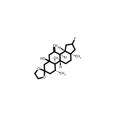 C=C1CC2(O)CC3(C[C@@H](C)[C@]2(C)[C@H]2CC[C@]4(C)CC(F)C[C@H]4[C@H]12)OCCO3